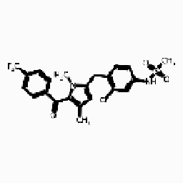 Cc1cc(Cc2ccc(NS(C)(=O)=O)cc2Cl)n(C)c1C(=O)c1ccc(C(F)(F)F)cc1